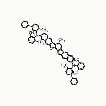 Cc1ccc(-c2ccccc2)cc1N(c1ccc2cc3c(cc2c1)oc1c3cc(C)c2c3cc4ccc(N(c5cc(-c6ccccc6)ccc5C)c5c(C)cccc5C)cc4cc3oc12)c1c(C)cccc1C